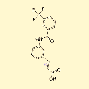 O=C(O)/C=C/c1cccc(NC(=O)c2cccc(C(F)(F)F)c2)c1